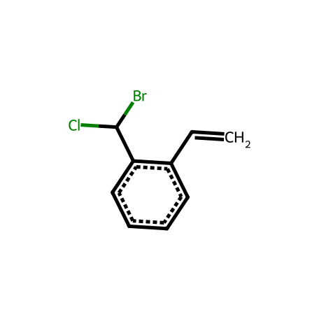 C=Cc1ccccc1C(Cl)Br